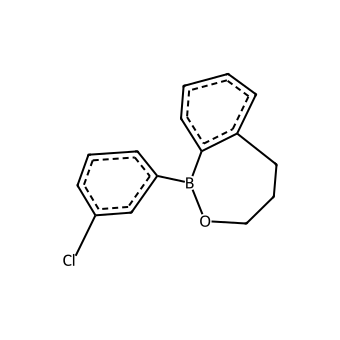 Clc1cccc(B2OCCCc3ccccc32)c1